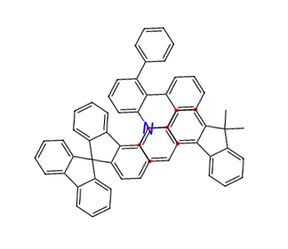 CC1(C)c2ccccc2-c2cc(N(c3cccc(-c4ccccc4)c3-c3ccccc3-c3ccccc3)c3cccc4c3-c3ccccc3C43c4ccccc4-c4ccccc43)ccc21